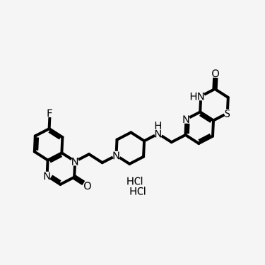 Cl.Cl.O=C1CSc2ccc(CNC3CCN(CCn4c(=O)cnc5ccc(F)cc54)CC3)nc2N1